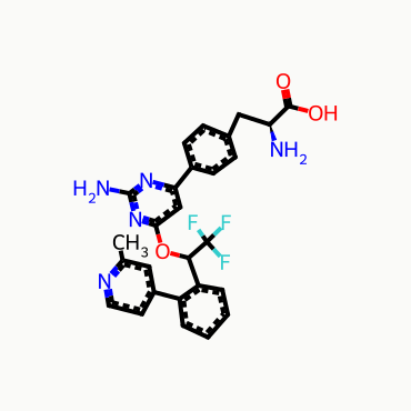 Cc1cc(-c2ccccc2C(Oc2cc(-c3ccc(C[C@H](N)C(=O)O)cc3)nc(N)n2)C(F)(F)F)ccn1